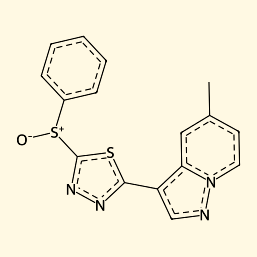 Cc1ccn2ncc(-c3nnc([S+]([O-])c4ccccc4)s3)c2c1